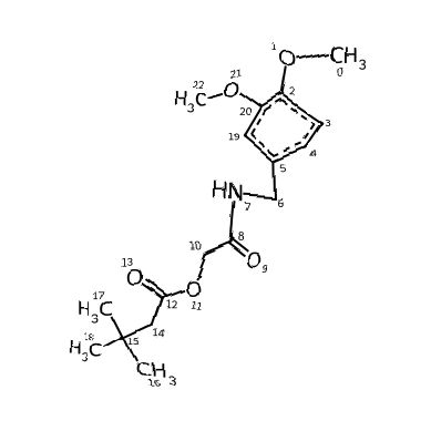 COc1ccc(CNC(=O)COC(=O)CC(C)(C)C)cc1OC